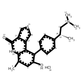 Cc1cc(O)c(-c2ccc([C@@H](C)CN(C)C)cc2)c2c1[nH]c(=O)c1cscc12.Cl